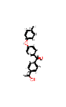 C=C(/C=C\C(=C/C)Oc1ccc(C)cc1)C(=O)c1ccc(C(C)O)cc1